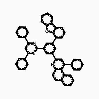 c1ccc(-c2cc(-c3ccccc3)nc(-c3cc(-c4cc(-c5ccccc5)c5c(ccc6ccccc65)n4)cc(-c4cccc5c4oc4ccccc45)c3)n2)cc1